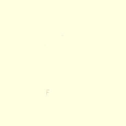 Cc1csc(C)c1F